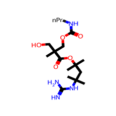 CCCNC(=O)OCC(C)(CO)C(=O)OC(C)(C)CC(C)(C)NC(=N)N